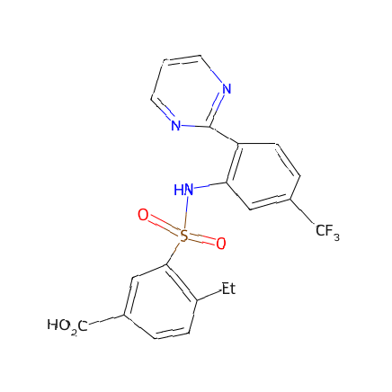 CCc1ccc(C(=O)O)cc1S(=O)(=O)Nc1cc(C(F)(F)F)ccc1-c1ncccn1